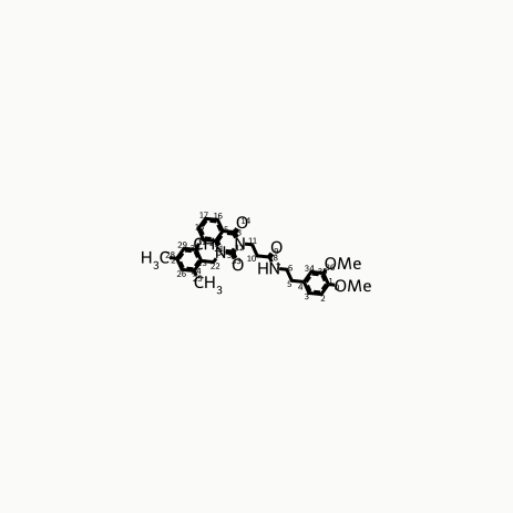 COc1ccc(CCNC(=O)CCn2c(=O)c3ccccc3n(Cc3c(C)cc(C)cc3C)c2=O)cc1OC